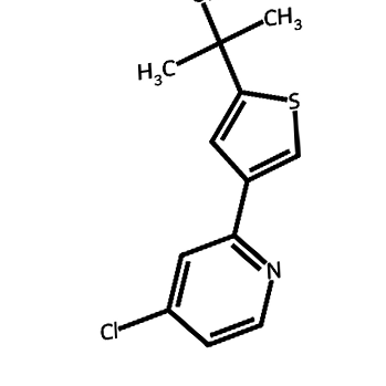 CC(C)(O)c1cc(-c2cc(Cl)ccn2)cs1